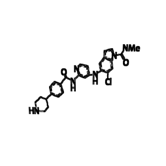 CNC(=O)n1ccc2cc(Nc3ccnc(NC(=O)c4ccc(C5CCNCC5)cc4)c3)c(Cl)cc21